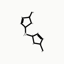 CC1C=CC(OC2C=CC(C)C2)C1